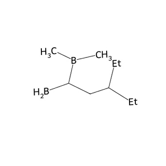 BC(CC(CC)CC)B(C)C